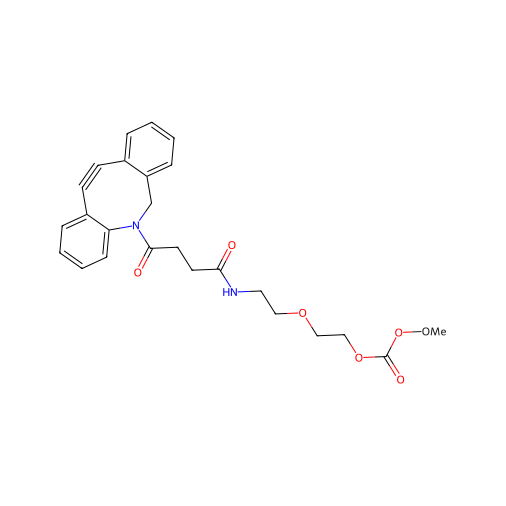 COOC(=O)OCCOCCNC(=O)CCC(=O)N1Cc2ccccc2C#Cc2ccccc21